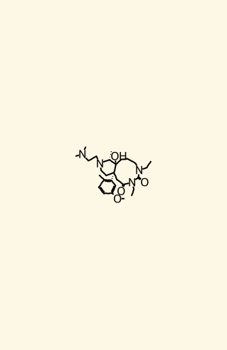 CCN1CCC[C@@]2(O)[C@@H](C)N(CCN(C)C)CC[C@]2(c2cc(OC)ccc2C)CC(=O)N(CC)C1=O